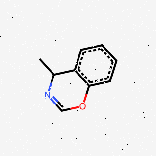 CC1N=COc2ccccc21